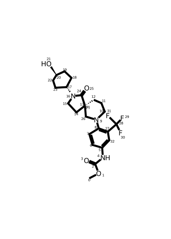 COC(=O)Nc1ccc(N2CCC[C@@]3(CCN([C@H]4CC[C@H](O)CC4)C3=O)C2)c(C(F)(F)F)c1